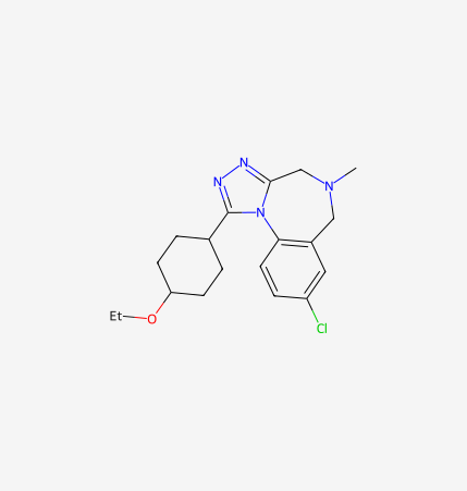 CCOC1CCC(c2nnc3n2-c2ccc(Cl)cc2CN(C)C3)CC1